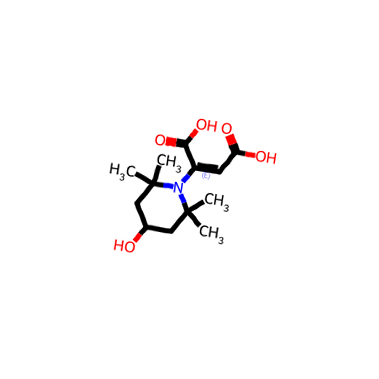 CC1(C)CC(O)CC(C)(C)N1/C(=C/C(=O)O)C(=O)O